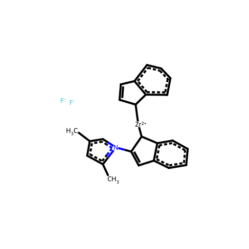 Cc1cc(C)n(C2=Cc3ccccc3[CH]2[Zr+2][CH]2C=Cc3ccccc32)c1.[F-].[F-]